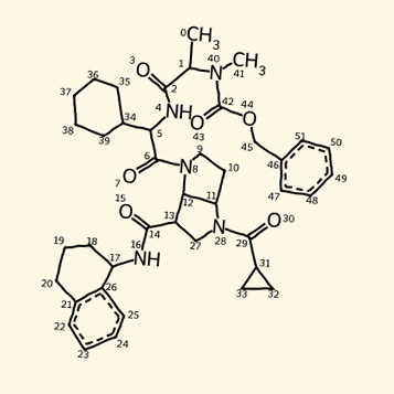 CC(C(=O)NC(C(=O)N1CCC2C1C(C(=O)NC1CCCc3ccccc31)CN2C(=O)C1CC1)C1CCCCC1)N(C)C(=O)OCc1ccccc1